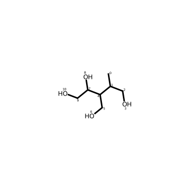 CC(CO)C(CO)C(O)CO